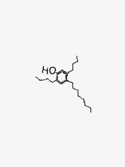 CCCCCCCCc1cc(CCCC)c(O)cc1CCCC